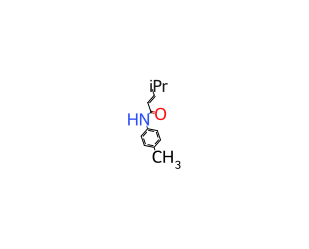 Cc1ccc(NC(=O)/C=C/C(C)C)cc1